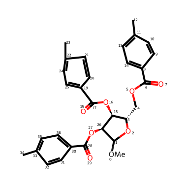 COC1O[C@@H](COC(=O)c2ccc(C)cc2)[C@H](OC(=O)c2ccc(C)cc2)[C@@H]1OC(=O)c1ccc(C)cc1